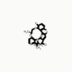 CC(C)c1nccc2c1-n1c(=O)nc(Cl)c3cc(F)c(nc31)-c1c(F)ccc(F)c1OC[C@H](C)O2